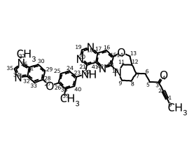 CC#CC(=O)CCC1CCN2CC1COc1cc3ncnc(Nc4ccc(Oc5ccc6c(c5)ncn6C)c(C)c4)c3nc12